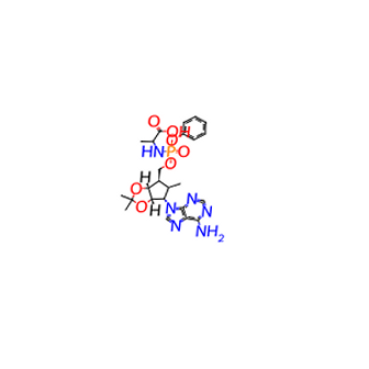 CC(NP(=O)(OC[C@H]1C(C)[C@@H](n2cnc3c(N)ncnc32)[C@@H]2OC(C)(C)O[C@@H]21)Oc1ccccc1)C(=O)O